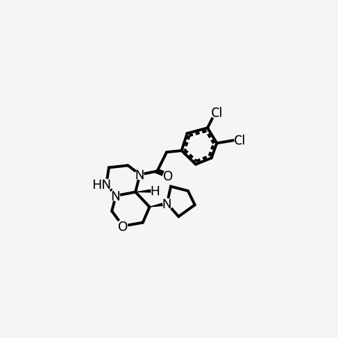 O=C(Cc1ccc(Cl)c(Cl)c1)N1CCNN2COC[C@H](N3CCCC3)[C@H]21